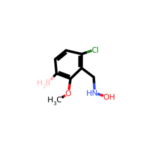 Bc1ccc(Cl)c(CNO)c1OC